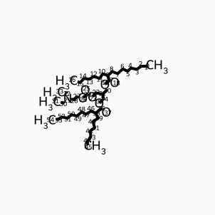 CCCCCCCCCC(CCCCCCC)C(=O)OCC(COC(=O)OCCN(CC)CC)COC(=O)C(CCCCCCC)CCCCCCCCC